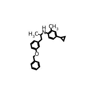 Cc1cc(C2CC2)ccc1N[C@H](C)Cc1cccc(OCc2ccccc2)c1